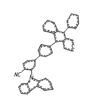 N#Cc1ccc(-c2ccc(-c3c4ccccc4c(-c4ccccc4)c4ccccc34)cc2)cc1-n1c2ccccc2c2ccccc21